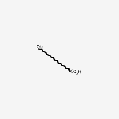 O=C(O)/C=C/CCCCCCCCCCCCCCCO